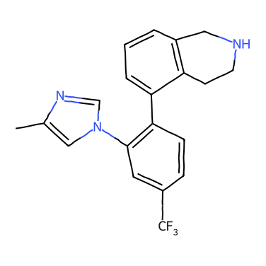 Cc1cn(-c2cc(C(F)(F)F)ccc2-c2cccc3c2CCNC3)cn1